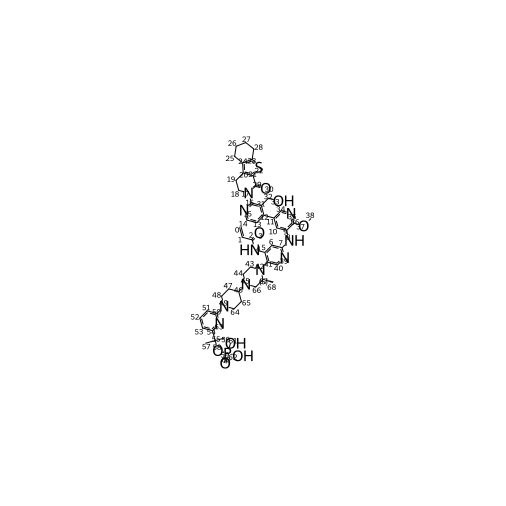 C=CC(=O)Nc1cc(Nc2cc(-c3ccnc(N4CCc5c(sc6c5CCCC6)C4=O)c3CO)cnc2OC)ncc1N1CCN(C2CCN(c3cccc(C(C)(C)OP(=O)(O)O)n3)CC2)C[C@@H]1C